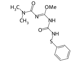 COC(=NC(=O)N(C)C)NC(=O)NSc1ccccc1